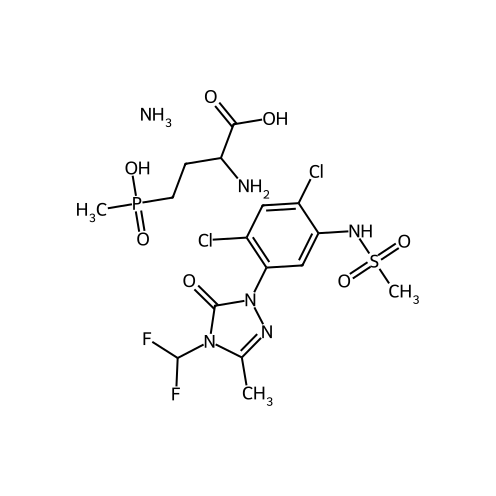 CP(=O)(O)CCC(N)C(=O)O.Cc1nn(-c2cc(NS(C)(=O)=O)c(Cl)cc2Cl)c(=O)n1C(F)F.N